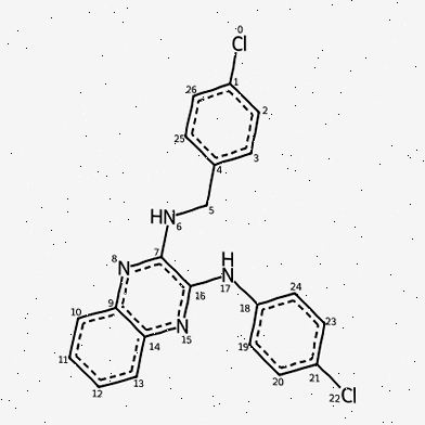 Clc1ccc(CNc2nc3ccccc3nc2Nc2ccc(Cl)cc2)cc1